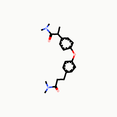 CC(C(=O)N(C)C)c1ccc(Oc2ccc(CCC(=O)N(C)C)cc2)cc1